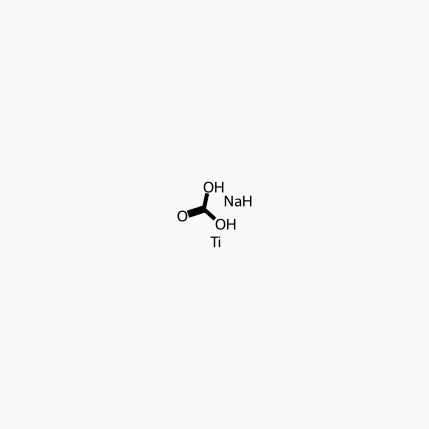 O=C(O)O.[NaH].[Ti]